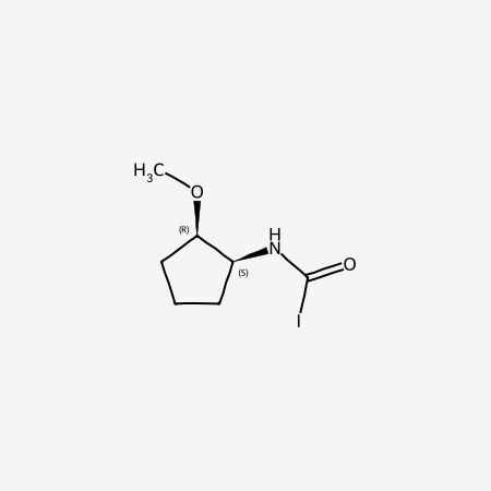 CO[C@@H]1CCC[C@@H]1NC(=O)I